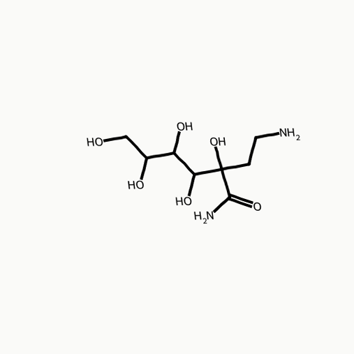 NCCC(O)(C(N)=O)C(O)C(O)C(O)CO